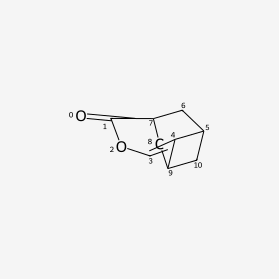 O=C1OC=C2C3CC1CC2C3